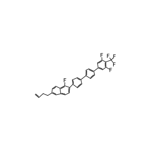 C=CCCc1ccc2c(F)c(-c3ccc(-c4ccc(-c5cc(F)c(C(F)(F)F)c(F)c5)cc4)cc3)ccc2c1